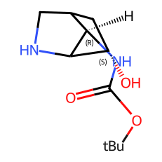 CC(C)(C)OC(=O)N[C@@H]1C2CNC1[C@@H](O)C2